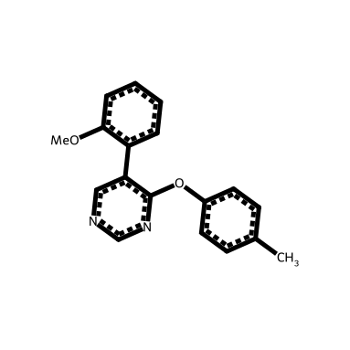 COc1ccccc1-c1cncnc1Oc1ccc(C)cc1